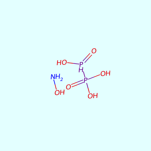 NO.O=[PH](O)P(=O)(O)O